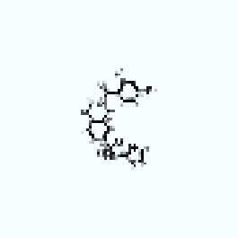 O=C(c1ccc(F)cc1F)N1CCc2ccc(S(=O)(=O)Nc3nccs3)cc2C1